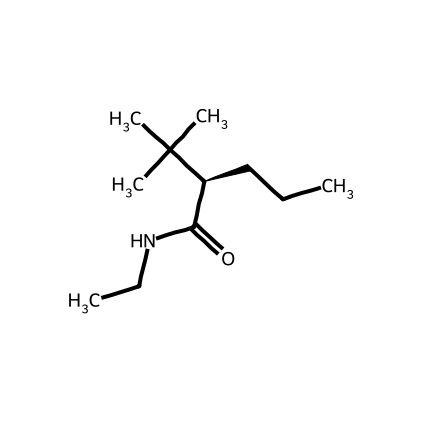 CCC[C@@H](C(=O)NCC)C(C)(C)C